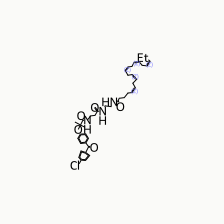 CC/C=C\C/C=C\C/C=C\C/C=C\C/C=C\CCCC(=O)NCCNC(=O)CCNC(=O)C(C)(C)Oc1ccc(C(=O)c2ccc(Cl)cc2)cc1